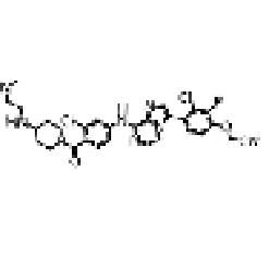 CN(C)CCNC1CCN(C(=O)c2ccc(Nc3nccn4c(-c5ccc(OCC#N)c(F)c5Cl)cnc34)cc2Cl)CC1